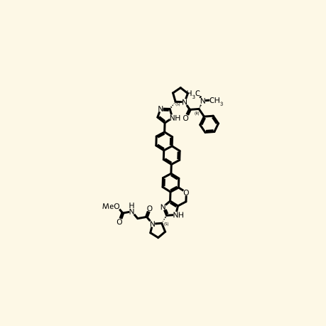 COC(=O)NCC(=O)N1CCC[C@H]1c1nc2c([nH]1)COc1cc(-c3ccc4cc(-c5cnc([C@@H]6CCCN6C(=O)[C@@H](c6ccccc6)N(C)C)[nH]5)ccc4c3)ccc1-2